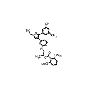 COc1cccc(OC)c1C(=O)OC(C)CNc1nccc(-c2cn(CC#N)nc2-c2cc(C)cc(O)c2)n1